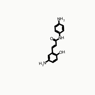 Nc1ccc(NC(=O)C=Cc2cc(N)ccc2O)cc1